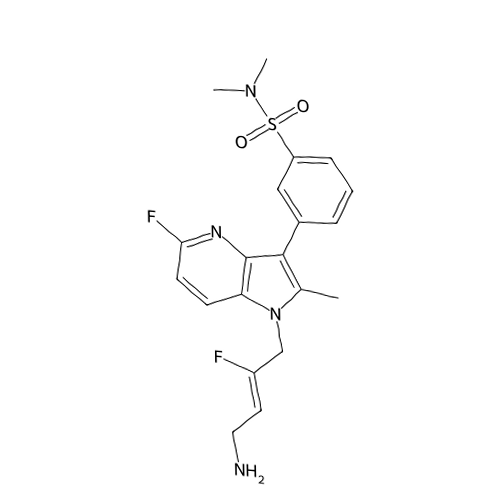 Cc1c(-c2cccc(S(=O)(=O)N(C)C)c2)c2nc(F)ccc2n1C/C(F)=C/CN